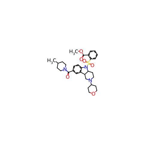 COC(=O)c1ccccc1S(=O)(=O)N1c2ccc(C(=O)N3CCC(C)CC3)cc2C2CN(C3CCOCC3)CCC21